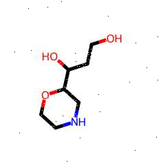 OCCC(O)C1CNCCO1